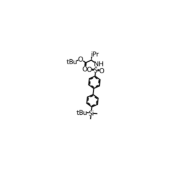 CC(C)[C@@H](NS(=O)(=O)c1ccc(-c2ccc([Si](C)(C)C(C)(C)C)cc2)cc1)C(=O)OC(C)(C)C